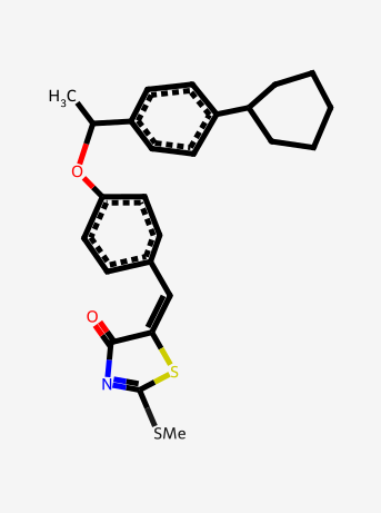 CSC1=NC(=O)/C(=C\c2ccc(OC(C)c3ccc(C4CCCCC4)cc3)cc2)S1